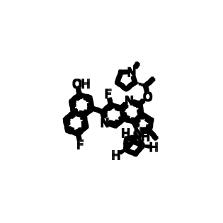 Cc1cc2c(OC(C)[C@@H]3CCCN3C)nc3c(F)c(-c4cc(O)cc5ccc(F)cc45)ncc3c2n1[C@H]1[C@H]2CN[C@@H]1C2